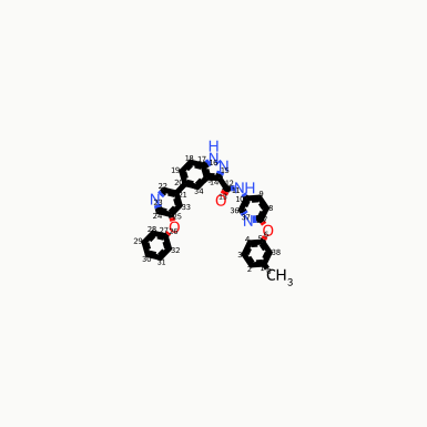 Cc1cccc(Oc2ccc(NC(=O)c3n[nH]c4ccc(-c5cncc(Oc6ccccc6)c5)cc34)cn2)c1